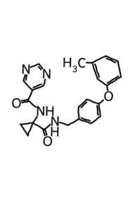 Cc1cccc(Oc2ccc(CNC(=O)C3(NC(=O)c4cncnc4)CC3)cc2)c1